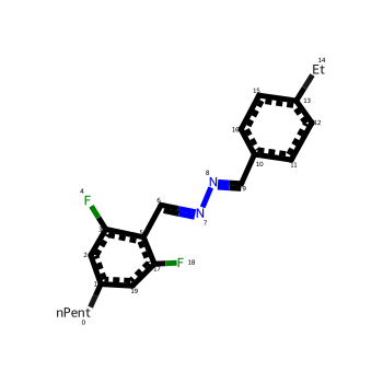 CCCCCc1cc(F)c(C=NN=Cc2ccc(CC)cc2)c(F)c1